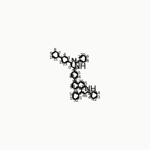 C1=C(c2ccc(-c3ccccc3)cc2)N=C(c2ccccc2)NC1c1ccc(-c2cccc3c4c(ccc23)NC(c2ccccc2)C=C4c2ccccc2)cc1